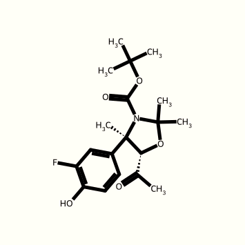 CC(=O)[C@H]1OC(C)(C)N(C(=O)OC(C)(C)C)[C@]1(C)c1ccc(O)c(F)c1